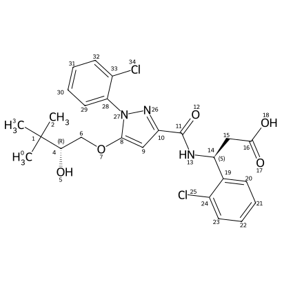 CC(C)(C)[C@@H](O)COc1cc(C(=O)N[C@@H](CC(=O)O)c2ccccc2Cl)nn1-c1ccccc1Cl